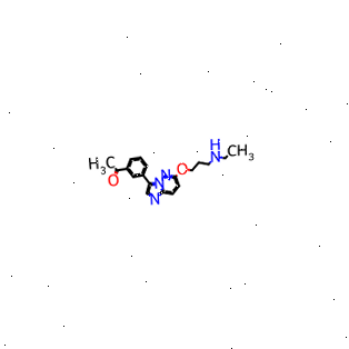 CCNCCCOc1ccc2ncc(-c3cccc(C(C)=O)c3)n2n1